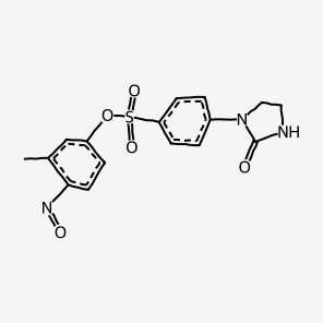 Cc1cc(OS(=O)(=O)c2ccc(N3CCNC3=O)cc2)ccc1N=O